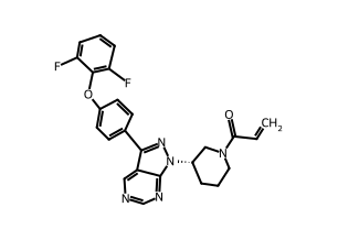 C=CC(=O)N1CCC[C@H](n2nc(-c3ccc(Oc4c(F)cccc4F)cc3)c3cncnc32)C1